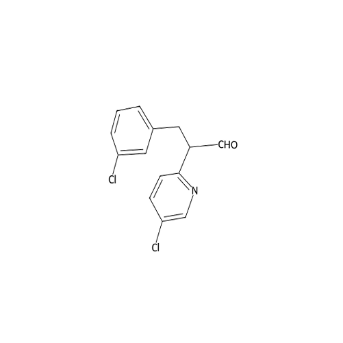 O=CC(Cc1cccc(Cl)c1)c1ccc(Cl)cn1